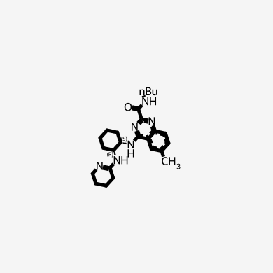 CCCCNC(=O)c1nc(N[C@H]2CCCC[C@H]2NC2=NCCCC2)c2cc(C)ccc2n1